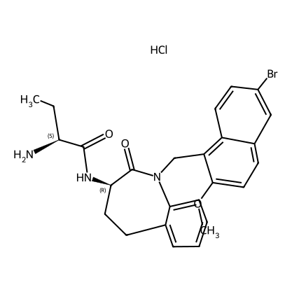 CC[C@H](N)C(=O)N[C@@H]1CCc2ccccc2N(Cc2c(OC)ccc3cc(Br)ccc23)C1=O.Cl